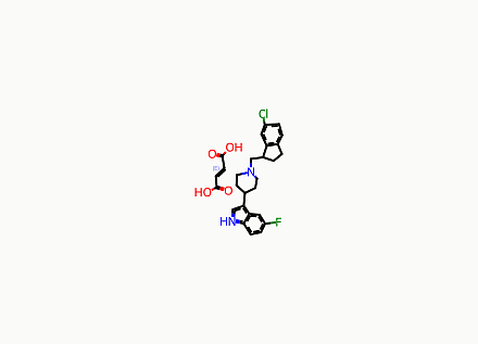 Fc1ccc2[nH]cc(C3CCN(CC4CCc5ccc(Cl)cc54)CC3)c2c1.O=C(O)/C=C/C(=O)O